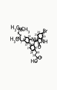 CN(C)CCN(C)Cc1ccc(NC(=C2C(=O)Nc3cc(Br)ccc32)c2cccc(CCC(=O)O)c2)cc1